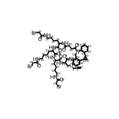 C#CCOCC(NC(=O)C(CCCCNC(=O)CBr)NC(=O)C(CCCCNC(=O)CBr)NC(=O)C(CCCCNC(=O)CBr)NC(=O)CCC(=O)N1Cc2ccccc2C2C=C2c2ccccc21)C(N)=O